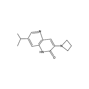 CC(C)c1cnc2cc(N3CCC3)c(=O)[nH]c2c1